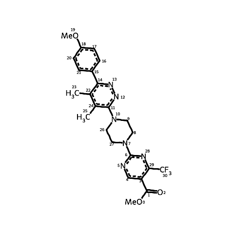 COC(=O)c1cnc(N2CCN(c3nnc(-c4ccc(OC)cc4)c(C)c3C)CC2)nc1C(F)(F)F